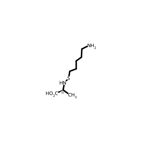 C[C@H](NSCCCCCN)C(=O)O